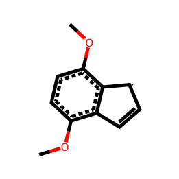 COc1ccc(OC)c2c1[CH]C=C2